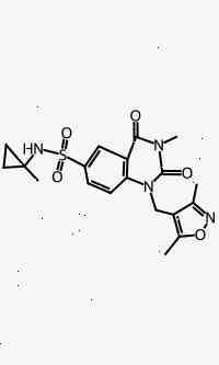 Cc1noc(C)c1Cn1c(=O)n(C)c(=O)c2cc(S(=O)(=O)NC3(C)CC3)ccc21